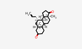 C=CC[C@H]1C[C@@H]2CC(=O)CC[C@]2(C)[C@H]2CC[C@]3(C)C(=O)CC[C@H]3[C@H]12